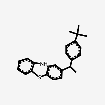 CC(c1ccc(C(C)(C)C)cc1)c1ccc2c(c1)Nc1ccccc1S2